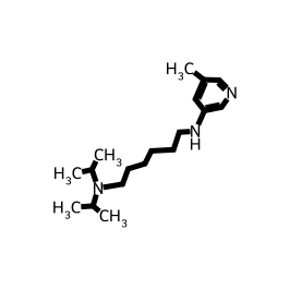 Cc1cncc(NCCCCCCN(C(C)C)C(C)C)c1